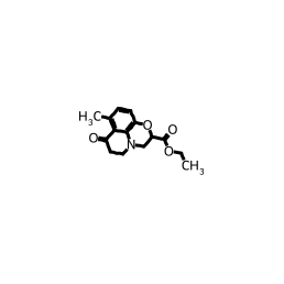 CCOC(=O)C1CN2CCC(=O)c3c(C)ccc(c32)O1